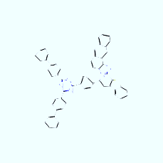 c1ccc(-c2ccc(-c3nc(-c4ccc(-c5ccccc5)cc4)nc(-c4ccc(-c5cc6c7ccccc7sc6c6nc7c8cc9ccccc9cc8ccc7n56)cc4)n3)cc2)cc1